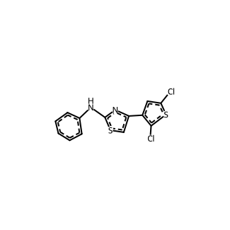 Clc1cc(-c2csc(Nc3ccccc3)n2)c(Cl)s1